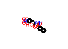 O=C(O)[C@@H](Cc1ccc([N+](=O)[O-])cc1)NS(=O)(=O)c1ccc2ccccc2c1